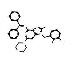 Cc1c(Cn2c(C)nc3c(N=C(c4ccccc4)c4ccccc4)nc(N4CCOCC4)cc32)cccc1C(F)(F)F